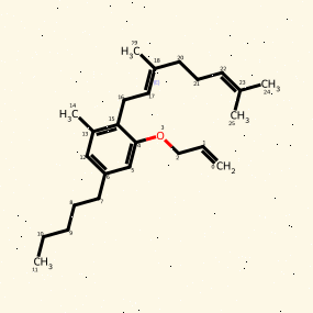 C=CCOc1cc(CCCCC)cc(C)c1C/C=C(\C)CCC=C(C)C